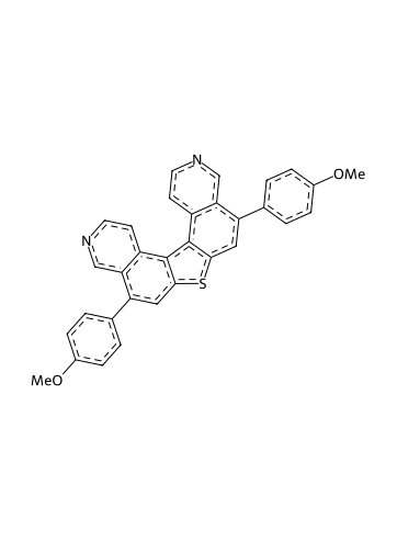 COc1ccc(-c2cc3sc4cc(-c5ccc(OC)cc5)c5cnccc5c4c3c3ccncc23)cc1